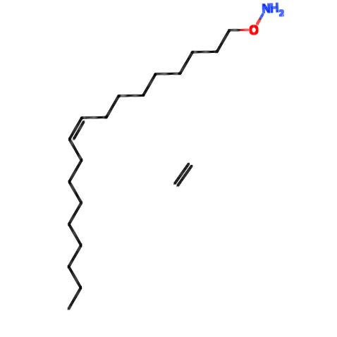 C=C.CCCCCCCC/C=C\CCCCCCCCON